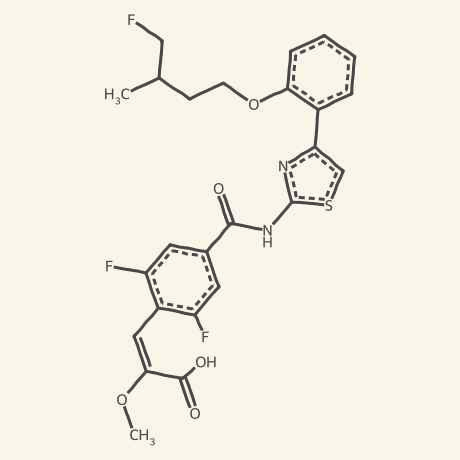 CO/C(=C/c1c(F)cc(C(=O)Nc2nc(-c3ccccc3OCCC(C)CF)cs2)cc1F)C(=O)O